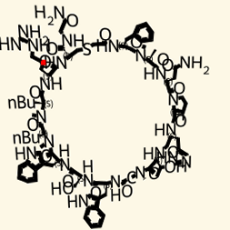 CCCC[C@H]1C(=O)N(C)[C@@H](CCCC)C(=O)N[C@@H](CCCNC(=N)N)C(=O)N[C@H](C(=O)NCC(N)=O)CSCC(=O)N[C@@H](Cc2ccccc2)C(=O)N(C)[C@@H](C)C(=O)N[C@@H](CC(N)=O)C(=O)N2CCC[C@H]2C(=O)N[C@@H](Cc2cnc[nH]2)C(=O)N[C@@H](C(C)O)C(=O)N(C)CC(=O)N[C@@H](Cc2c[nH]c3ccccc23)C(=O)N[C@@H](CO)C(=O)N[C@@H](Cc2c[nH]c3ccccc23)C(=O)N1C